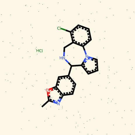 Cc1nc2ccc(C3NCc4c(Cl)cccc4-n4cccc43)cc2o1.Cl